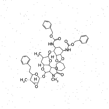 CC1C[C@@H]2OC(O[C@H]3OC(CCc4ccccc4)[C@@H](C)[C@@H]4OC34)C3C(OC(=O)N3C)C2O[C@@H]1O[C@@H]1C(NC(=O)OCc2ccccc2)C[C@@H](NC(=O)OCc2ccccc2)C2OC3(CCCCC3)O[C@H]21